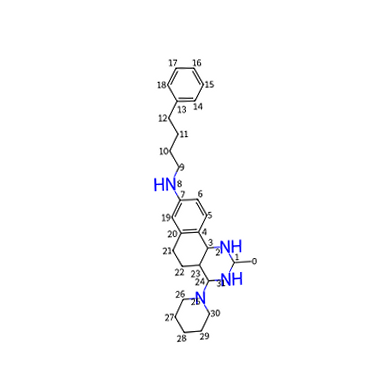 CC1NC2c3ccc(NCCCCc4ccccc4)cc3CCC2C(N2CCCCC2)N1